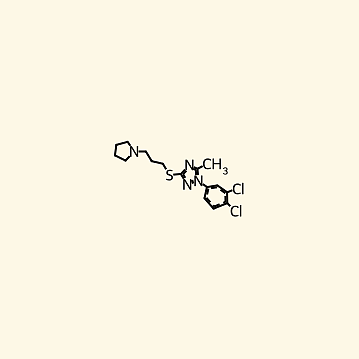 Cc1nc(SCCCN2CCCC2)nn1-c1ccc(Cl)c(Cl)c1